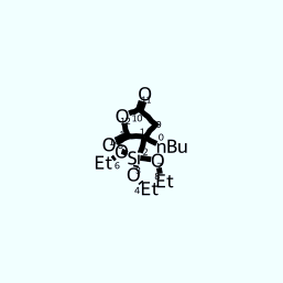 CCCCC1([Si](OCC)(OCC)OCC)CC(=O)OC1=O